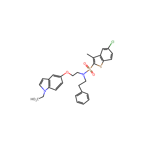 Cc1c(S(=O)(=O)N(CCOc2ccc3c(ccn3CC(=O)O)c2)CCc2ccccc2)sc2ccc(Cl)cc12